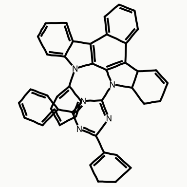 C1=CC(c2nc(-c3ccccc3)nc(N3c4c(c5ccccc5c5c6ccccc6n(-c6ccccc6)c45)C4C=CCCC43)n2)=CCC1